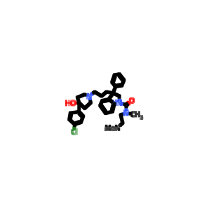 CNCCN(C)C(=O)NCC(CCCN1CCC(O)(c2ccc(Cl)cc2)CC1)(c1ccccc1)c1ccccc1